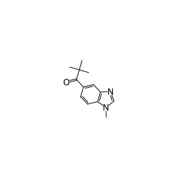 Cn1cnc2cc(C(=O)C(C)(C)C)ccc21